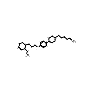 CCCCCCC1CCC(c2ccc(OCCCC3CCCCC3CC)cc2)CC1